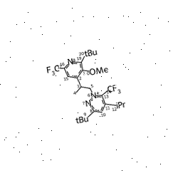 COc1c(C(C)C[n+]2nc(C(C)(C)C)cc(C(C)C)c2C(F)(F)F)cc(C(F)(F)F)nc1C(C)(C)C